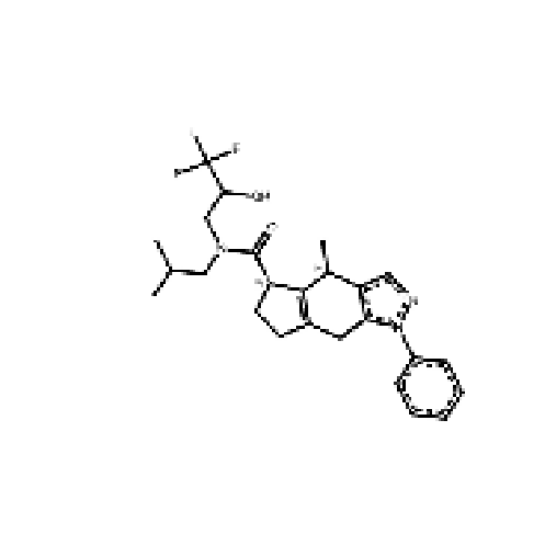 CC(C)CN(CC(O)C(F)(F)F)C(=O)[C@@H]1CCC2=C1[C@@H](C)c1cnn(-c3ccccc3)c1C2